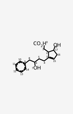 O=C(O)CC1C(CCC(O)Cc2ccccc2)=CCC1O